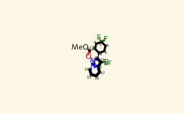 COC(=O)[C@@H]1CC(F)(F)CC[C@H]1c1nn2ccccc2c1Br